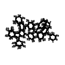 c1ccc(-n2c3ccccc3c3c([Si](c4ccccc4)(c4ccccc4)c4cccc(-n5c6ccccc6c6c7c8ccccc8n(-c8ccccc8)c7ccc65)c4)cccc32)cc1